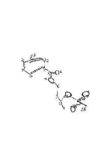 CC(CCOC(=O)c1ccccc1)OS(C)(=O)=O